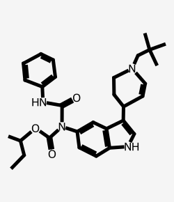 CCC(C)OC(=O)N(C(=O)Nc1ccccc1)c1ccc2[nH]cc(C3C=CN(CC(C)(C)C)CC3)c2c1